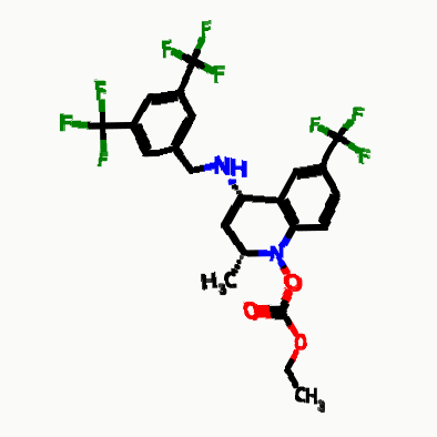 CCOC(=O)ON1c2ccc(C(F)(F)F)cc2[C@@H](NCc2cc(C(F)(F)F)cc(C(F)(F)F)c2)C[C@H]1C